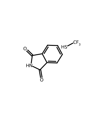 FC(F)(F)S.O=C1NC(=O)c2ccccc21